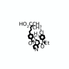 CCN(C(=O)[C@H]1C[C@H](C)N(C(=O)c2ccc(CCCC(C)(C)C(=O)O)cc2)c2ccncc21)c1ccc(Cl)cc1